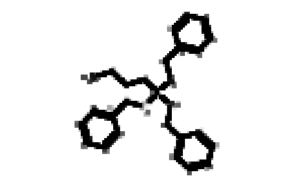 NCCC[Si](OCc1ccccc1)(OCc1ccccc1)OCc1ccccc1